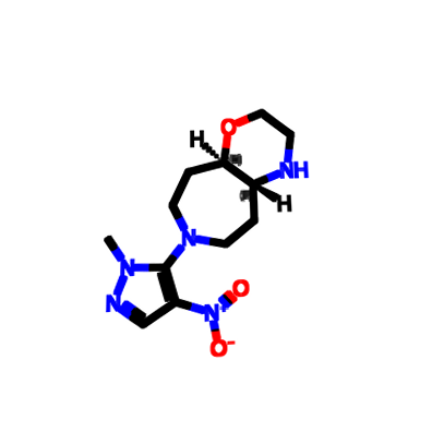 Cn1ncc([N+](=O)[O-])c1N1CC[C@H]2NCCO[C@@H]2CC1